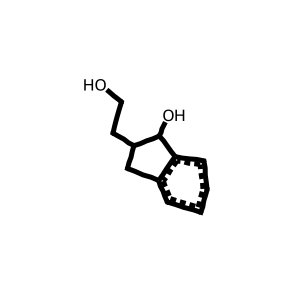 OCCC1Cc2ccccc2C1O